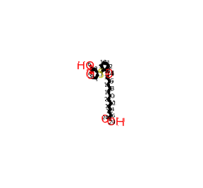 CCC(CC(=O)O)Sc1ccccc1OCCCCCCCCCCCCC(=O)O